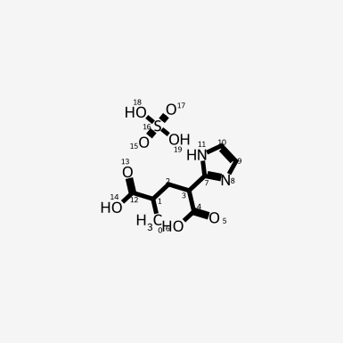 CC(CC(C(=O)O)c1ncc[nH]1)C(=O)O.O=S(=O)(O)O